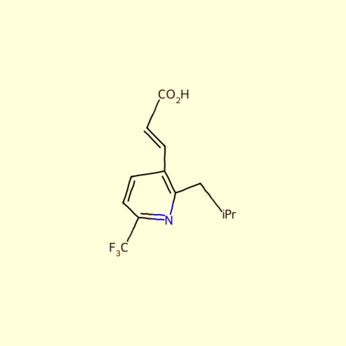 CC(C)Cc1nc(C(F)(F)F)ccc1C=CC(=O)O